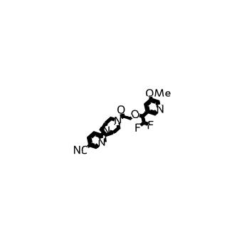 COc1cncc(C(OCC(=O)N2CC3C[C@H](C)C(C2)N3c2ccc(C#N)cn2)C(F)F)c1